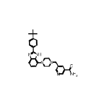 CC(C)(C)c1ccc(-c2nc3cccc(N4CCN(Cc5cncc(C(N)=O)c5)CC4)c3[nH]2)cc1